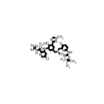 [2H]C([2H])([2H])NC(=O)c1nnc(Cl)cc1Nc1cc(CN(C)Cc2nc(NC(=O)OC(C)(C)C)ccc2F)cc(-c2ncn(C)n2)c1OC